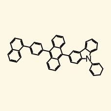 C1=CC(n2c3ccccc3c3cc(-c4c5ccccc5c(-c5ccc(-c6cccc7ccccc67)cc5)c5ccccc45)ccc32)=CCC1